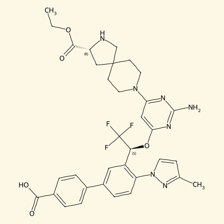 CCOC(=O)[C@H]1CC2(CCN(c3cc(O[C@@H](c4cc(-c5ccc(C(=O)O)cc5)ccc4-n4ccc(C)n4)C(F)(F)F)nc(N)n3)CC2)CN1